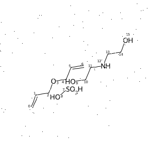 C=CCOCC=C.O=S(=O)(O)O.OCCNCCO